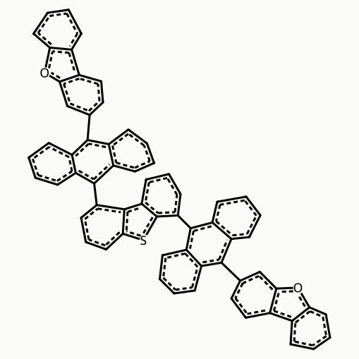 c1ccc2c(c1)oc1cc(-c3c4ccccc4c(-c4cccc5c4sc4cccc(-c6c7ccccc7c(-c7ccc8c(c7)oc7ccccc78)c7ccccc67)c45)c4ccccc34)ccc12